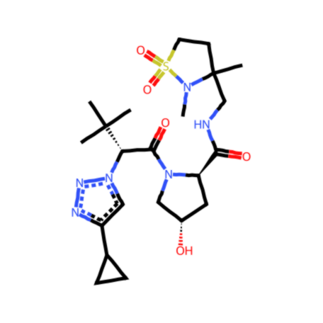 CN1C(C)(CNC(=O)[C@H]2C[C@H](O)CN2C(=O)[C@H](n2cc(C3CC3)nn2)C(C)(C)C)CCS1(=O)=O